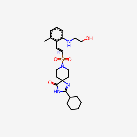 Cc1cccc(NCCO)c1/C=C/S(=O)(=O)N1CCC2(CC1)N=C(C1CCCCC1)NC2=O